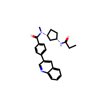 CCC(=O)N[C@H]1CC[C@@H](N(C)C(=O)c2ccc(-c3cnc4ccccc4c3)cc2)C1